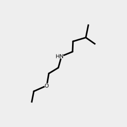 CCOCCNCCC(C)C